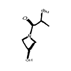 CC(C(=O)N1CC(O)C1)C(C)(C)C